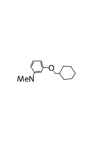 CNc1cccc(OCC2CCCCC2)c1